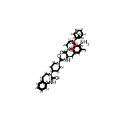 Cc1cc(C[C@@H](NC(=O)N2CCC(N3CCc4ccccc4NC3=O)CC2)C(=O)N2CCN(C3CN4CCC3CC4)CC2)cc(Cl)c1N